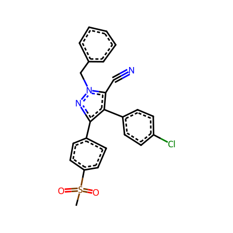 CS(=O)(=O)c1ccc(-c2nn(Cc3ccccc3)c(C#N)c2-c2ccc(Cl)cc2)cc1